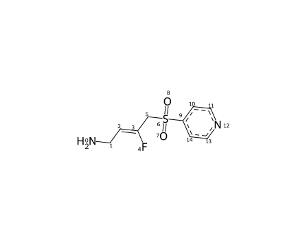 NC/C=C(\F)CS(=O)(=O)c1ccncc1